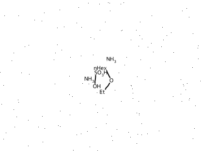 CCCCCCOCC.N.N.O=S(=O)(O)O